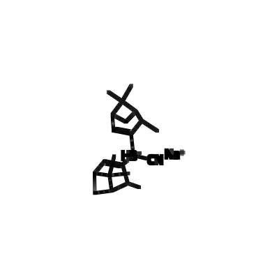 CC1C([BH-](C#N)C2=CC3CC(C2C)C3(C)C)=CC2CC1C2(C)C.[Na+]